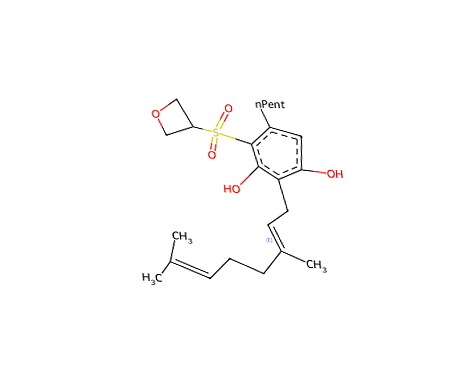 CCCCCc1cc(O)c(C/C=C(\C)CCC=C(C)C)c(O)c1S(=O)(=O)C1COC1